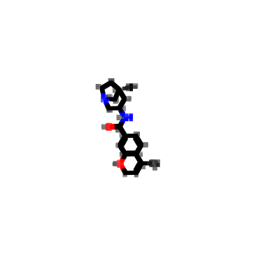 N#CC1=CCOc2cc(C(=O)N[C@@H]3C[C@@H]4CCN(C4)C3)ccc21